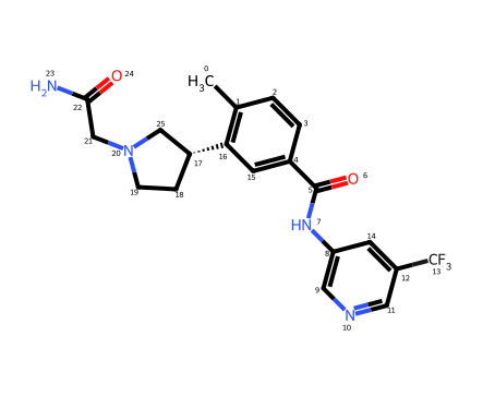 Cc1ccc(C(=O)Nc2cncc(C(F)(F)F)c2)cc1[C@@H]1CCN(CC(N)=O)C1